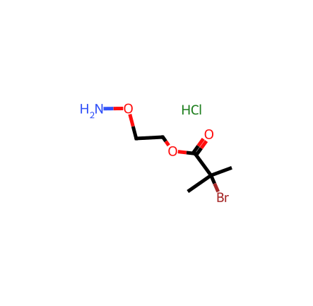 CC(C)(Br)C(=O)OCCON.Cl